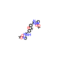 CC(C)(C)OC(=O)N1CCC[C@H]1c1ncc(-c2ccc3c(c2)Oc2ccc(-c4cnc([C@@H]5CCCN5C(=O)OC(C)(C)C)[nH]4)cc2C3(C)C)[nH]1